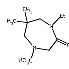 CCN1CC(C)(C)CN(C(=O)O)CC1=O